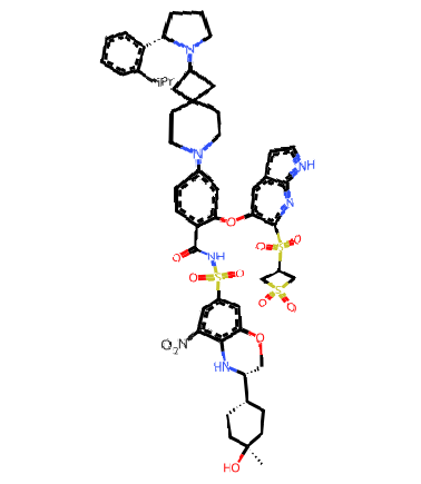 CC(C)c1ccccc1[C@@H]1CCCN1C1CC2(CCN(c3ccc(C(=O)NS(=O)(=O)c4cc5c(c([N+](=O)[O-])c4)N[C@@H]([C@H]4CC[C@](C)(O)CC4)CO5)c(Oc4cc5cc[nH]c5nc4S(=O)(=O)C4CS(=O)(=O)C4)c3)CC2)C1